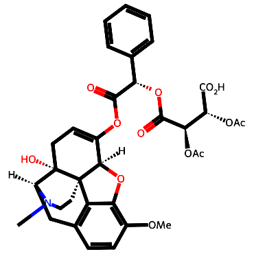 COc1ccc2c3c1O[C@@H]1C(OC(=O)[C@@H](OC(=O)[C@H](OC(C)=O)[C@@H](OC(C)=O)C(=O)O)c4ccccc4)=CC[C@]4(O)[C@H](C2)N(C)CC[C@@]314